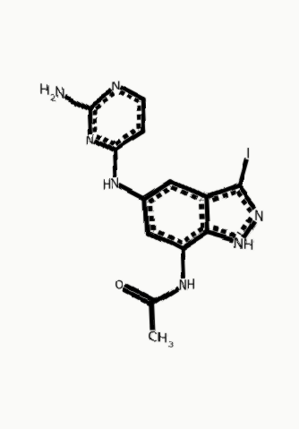 CC(=O)Nc1cc(Nc2ccnc(N)n2)cc2c(I)n[nH]c12